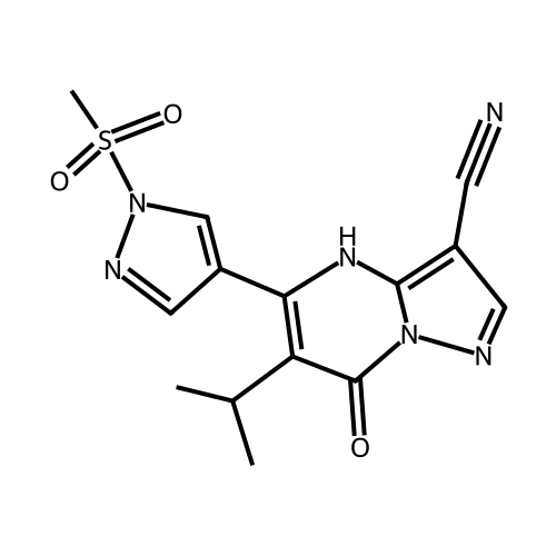 CC(C)c1c(-c2cnn(S(C)(=O)=O)c2)[nH]c2c(C#N)cnn2c1=O